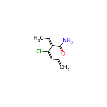 C=C/C=C(Cl)\C(=C/C)C(N)=O